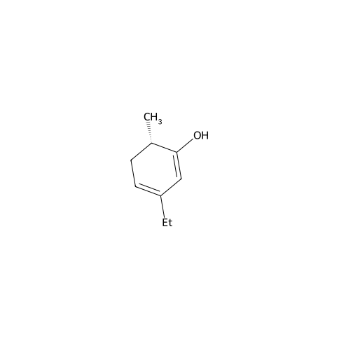 CCC1=CC[C@H](C)C(O)=C1